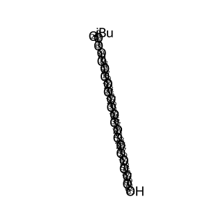 CCC(C)C(=O)OCCOCCOCCOCCOCCOCCOCCOCCOCCOCCOCCOCCOCCOCCOCCOCCOCCOCCOCCOCCO